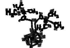 C[Si](C)(C)OC[C]12[CH]3[CH]4[CH]5[CH]1[Fe]45321678[CH]2[CH]1[CH]6[C]7(CO[Si](C)(C)C)[CH]28